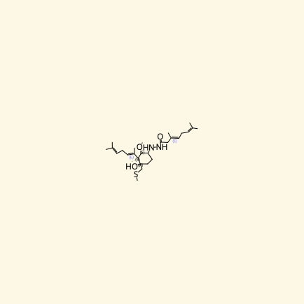 CO[C@@H]1C(NNC(=O)C/C(C)=C/CC=C(C)C)CC[C@](O)(CSC)[C@@]1(C)/C(C)=C/CC=C(C)C